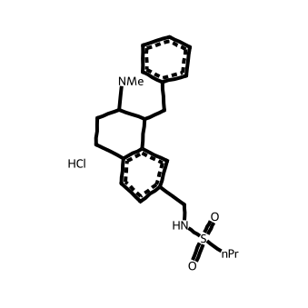 CCCS(=O)(=O)NCc1ccc2c(c1)C(Cc1ccccc1)C(NC)CC2.Cl